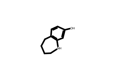 Oc1ccc2c(c1)NCCCC2